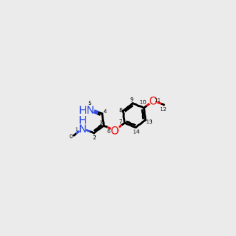 CN/C=C(\C=N)Oc1ccc(OC)cc1